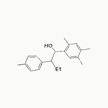 CCC(c1ccc(C)cc1)C(O)c1cc(C)c(C)cc1C